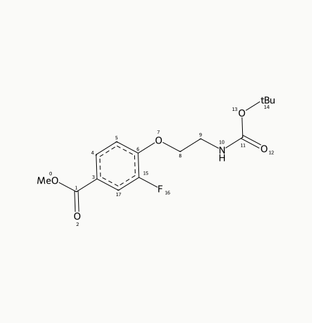 COC(=O)c1ccc(OCCNC(=O)OC(C)(C)C)c(F)c1